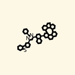 c1ccc(-c2nc(-c3ccc4sc5ccccc5c4c3)cc(-c3ccc(-c4cc5ccc6cccc7c8cccc9ccc%10cccc(c(c4)c5c67)c%10c98)c4ccccc34)n2)cc1